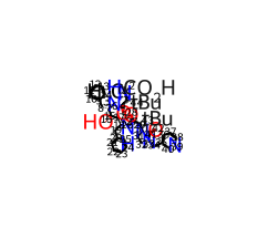 CN(C(=O)O)[C@H](C(=O)N[C@@H](Cc1ccccc1)[C@@H](O)C[C@H](Cc1ccccc1)NC(=O)[C@@H](N1CCN(Cc2cccnc2)C1=O)C(C)(C)C)C(C)(C)C